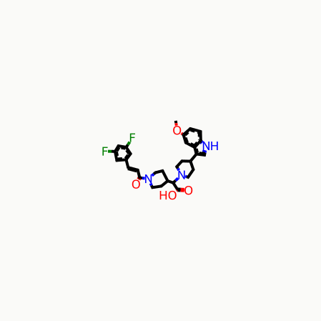 COc1ccc2[nH]cc(C3CCN(C(C(=O)O)C4CCN(C(=O)C=Cc5cc(F)cc(F)c5)CC4)CC3)c2c1